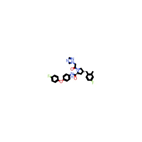 Cc1cc(F)ccc1C[C@@H]1C[C@@H](C(=O)Nc2ccc(Oc3ccc(F)cc3)cc2)N(C(=O)Cn2cncn2)C1